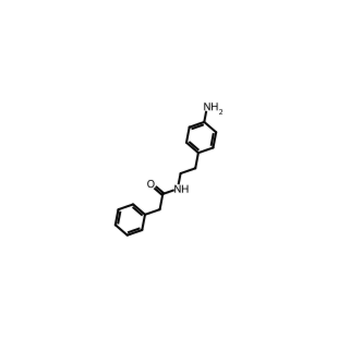 Nc1ccc(CCNC(=O)Cc2ccccc2)cc1